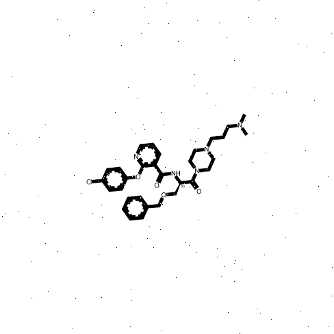 CN(C)CCCN1CCN(C(=O)[C@@H](COCc2ccccc2)NC(=O)c2cccnc2Oc2ccc(Cl)cc2)CC1